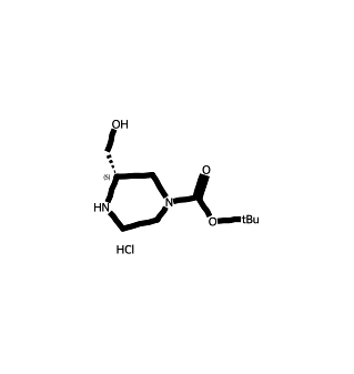 CC(C)(C)OC(=O)N1CCN[C@H](CO)C1.Cl